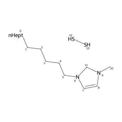 CCCCCCCCCCCCN1C=CN(C)C1.SS